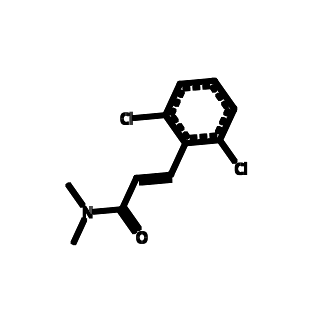 CN(C)C(=O)C=Cc1c(Cl)cccc1Cl